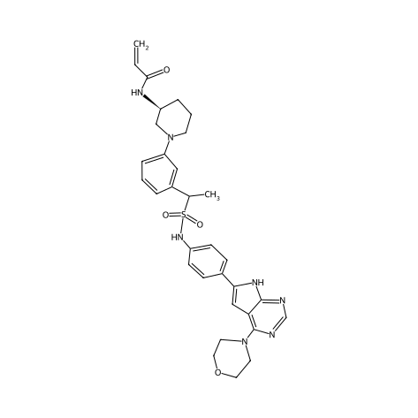 C=CC(=O)N[C@H]1CCCN(c2cccc(C(C)S(=O)(=O)Nc3ccc(-c4cc5c(N6CCOCC6)ncnc5[nH]4)cc3)c2)C1